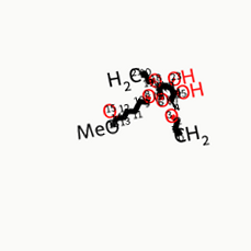 C=CCOC[C@H]1O[C@H](OCCCCCC(=O)OC)[C@H](OCC=C)[C@@H](O)[C@H]1O